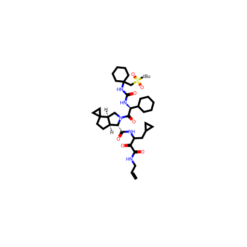 C=CCNC(=O)C(=O)C(CC1CC1)NC(=O)[C@@H]1[C@H]2CCC3(CC3)[C@H]2CN1C(=O)[C@@H](NC(=O)NC1(CS(=O)(=O)C(C)(C)C)CCCCC1)C1CCCCC1